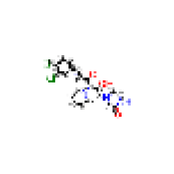 O=C1CN(CC(O)C(C(=O)/C=C/c2ccc(Cl)c(Cl)c2)N2CCCCC2)CCN1